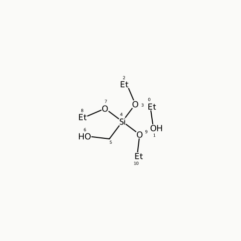 CCO.CCO[Si](CO)(OCC)OCC